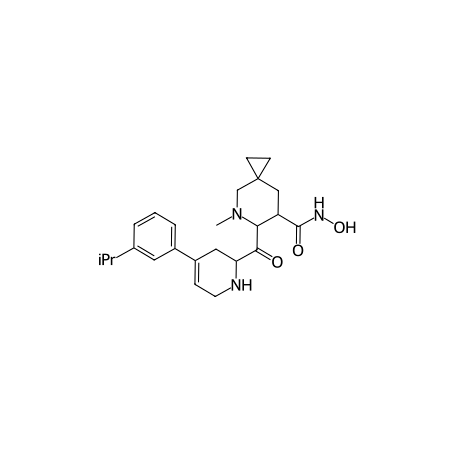 CC(C)c1cccc(C2=CCNC(C(=O)C3C(C(=O)NO)CC4(CC4)CN3C)C2)c1